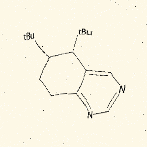 CC(C)(C)C1CCc2ncncc2C1C(C)(C)C